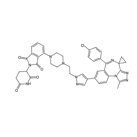 Cc1nnc2n1-c1ccc(-c3cnn(CCN4CCN(c5cccc6c5C(=O)N(C5CCC(=O)NC5=O)C6=O)CC4)c3)cc1C(c1ccc(Cl)cc1)=NC21CC1